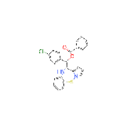 O=C(OC(c1ccc(Cl)cc1)=c1[nH]c2ccccc2sn2cccc12)c1ccccc1